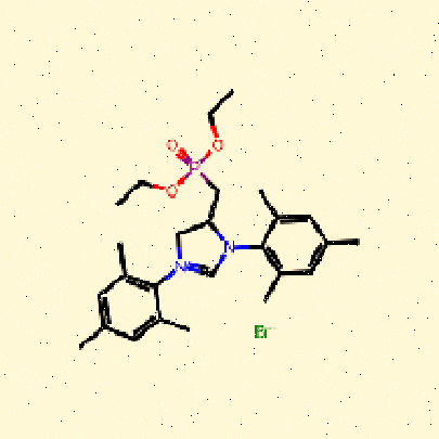 CCOP(=O)(CC1C[N+](c2c(C)cc(C)cc2C)=CN1c1c(C)cc(C)cc1C)OCC.[Br-]